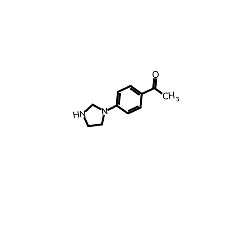 CC(=O)c1ccc(N2CCNC2)cc1